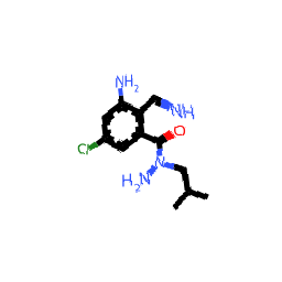 CC(C)CN(N)C(=O)c1cc(Cl)cc(N)c1C=N